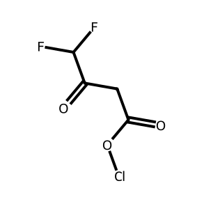 O=C(CC(=O)C(F)F)OCl